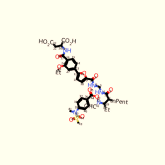 CCCCCC(C(=O)NCNC(=O)c1ccc(-c2ccc(C(=O)NC(CC(=O)O)C(=O)O)c(OCC)c2)o1)C(CC)N(C=O)OC(=O)c1ccc(N(C)S(C)(=O)=O)cc1